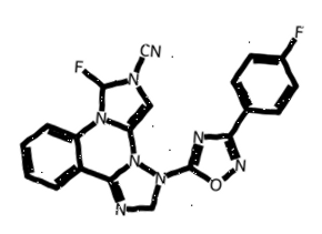 N#CN1C=C2N(c3ccccc3C3=NCN(c4nc(-c5ccc(F)cc5)no4)N23)C1F